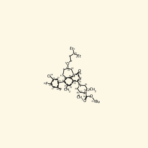 CCN(CC)CCO[C@@H]1CSc2c(-c3cc(Cl)c(F)cc3F)c(C)cc3c(N4C[C@@H](C)N(C(=O)OC(C)(C)C)[C@@H](C)C4)nc(=O)n(c23)C1